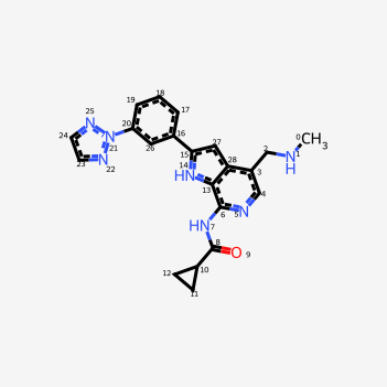 CNCc1cnc(NC(=O)C2CC2)c2[nH]c(-c3cccc(-n4nccn4)c3)cc12